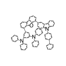 c1ccc(-c2ccc(-n3c4ccccc4c4cc(-c5cccc6c5oc5c(-c7cc(N(c8ccccc8)c8ccccc8)cc(N(c8ccccc8)c8ccccc8)c7)cccc56)ccc43)cc2)cc1